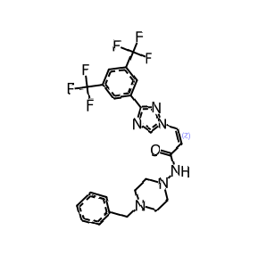 O=C(/C=C\n1cnc(-c2cc(C(F)(F)F)cc(C(F)(F)F)c2)n1)NN1CCN(Cc2ccccc2)CC1